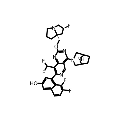 Oc1cc(-c2ncc3c(N4CC5CCC(C4)N5)nc(OC[C@]45CCCN4C[C@@H](F)C5)nc3c2C(F)F)c2c(F)c(F)ccc2c1